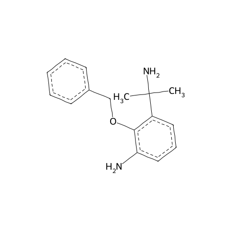 CC(C)(N)c1cccc(N)c1OCc1ccccc1